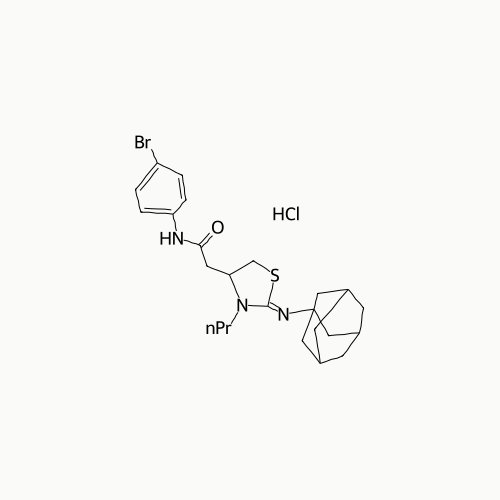 CCCN1C(=NC23CC4CC(CC(C4)C2)C3)SCC1CC(=O)Nc1ccc(Br)cc1.Cl